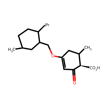 CC1CCC(C(C)C)C(COC2=CC(=O)[C@H](C(=O)O)C(C)C2)C1